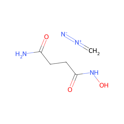 C=[N+]=[N-].NC(=O)CCC(=O)NO